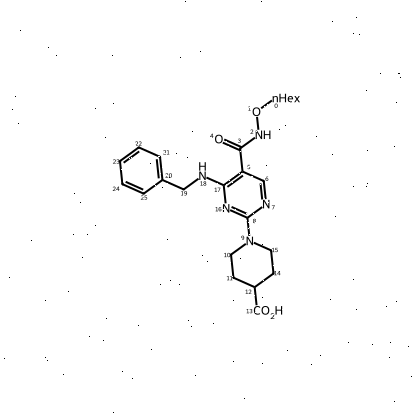 CCCCCCONC(=O)c1cnc(N2CCC(C(=O)O)CC2)nc1NCc1ccccc1